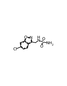 NS(=O)(=O)NCc1noc2cc(Cl)ccc12